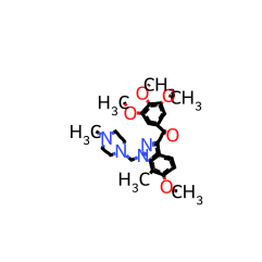 COc1cc(C(=O)c2nn(CN3CCN(C)CC3)c3c(C)c(OC)ccc23)cc(OC)c1OC